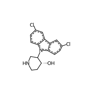 O[C@@H]1CCNCC1n1c2ccc(Cl)cc2c2cc(Cl)ccc21